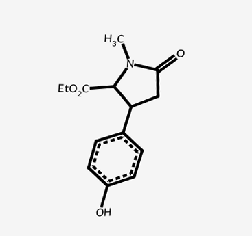 CCOC(=O)C1C(c2ccc(O)cc2)CC(=O)N1C